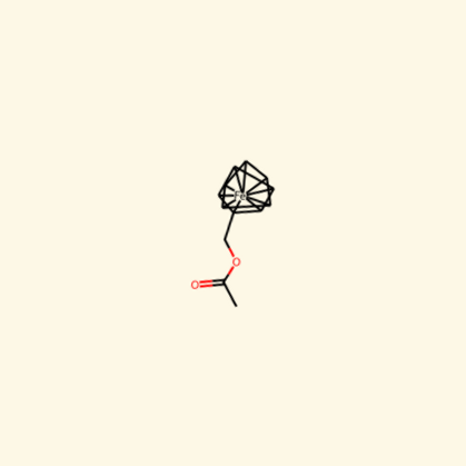 CC(=O)OC[C]12[CH]3[CH]4[CH]5[CH]1[Fe]45321678[CH]2[CH]1[CH]6[CH]7[CH]28